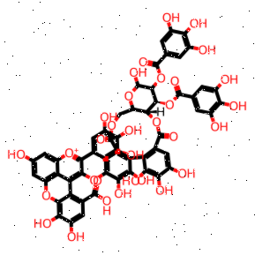 O=C(OC1C(O)OC2COC(=O)c3cc(Oc4c(-c5cc(O)c(O)c(O)c5)[o+]c5cc(O)cc6c5c4-c4c(C(=O)O)cc(O)c(O)c4O6)c(O)c(O)c3-c3c(cc(O)c(O)c3O)C(=O)O[C@H]2[C@@H]1OC(=O)c1cc(O)c(O)c(O)c1)c1cc(O)c(O)c(O)c1